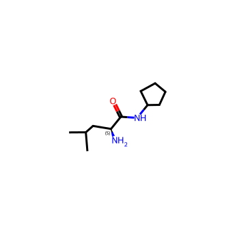 CC(C)C[C@H](N)C(=O)NC1CCCC1